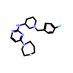 Fc1ccc(CN2CCCC(Nc3nccc(N4CCCCCC4)n3)C2)cc1